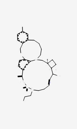 O=C(O)CCN1CC/C=C/C(O)[C@@H]2CC[C@H]2CN2CCCCc3cc(Cl)ccc3COc3ccc(cc32)C(=O)NS1(=O)=O